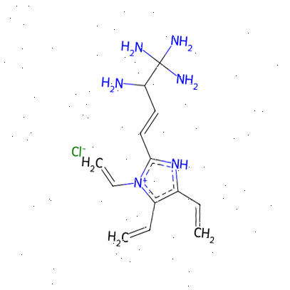 C=Cc1[nH]c(C=CC(N)C(N)(N)N)[n+](C=C)c1C=C.[Cl-]